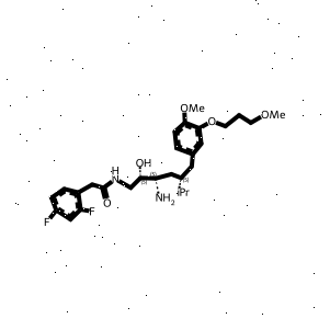 COCCCOc1cc(C[C@@H](C[C@H](N)[C@@H](O)CNC(=O)Cc2ccc(F)cc2F)C(C)C)ccc1OC